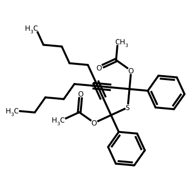 CCCCCC#CC(OC(C)=O)(SC(C#CCCCCC)(OC(C)=O)c1ccccc1)c1ccccc1